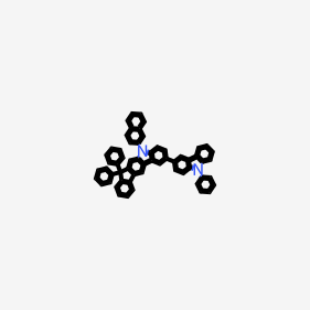 c1ccc(-n2c3ccccc3c3cc(-c4ccc5c(c4)c4cc6c(cc4n5-c4ccc5ccccc5c4)C(c4ccccc4)(c4ccccc4)c4ccccc4-6)ccc32)cc1